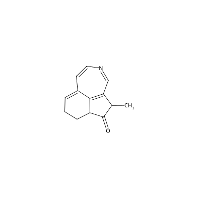 CC1C(=O)C2CCC=C3C=CN=CC1=C32